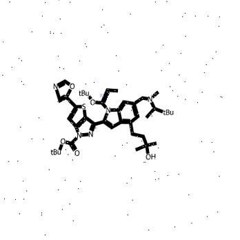 C/C=C(/OC(C)(C)C)n1c(-c2nn(C(=O)OC(C)(C)C)c3cc(-c4cnco4)sc23)cc2c(CCC(C)(C)O)cc(CN(C)C(C)C(C)(C)C)cc21